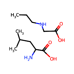 CC(C)CC(N)C(=O)O.CCCNCC(=O)O